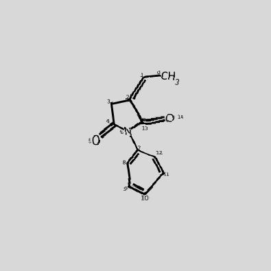 C/C=C1/CC(=O)N(c2ccccc2)C1=O